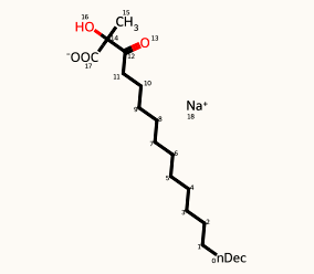 CCCCCCCCCCCCCCCCCCCCCC(=O)C(C)(O)C(=O)[O-].[Na+]